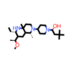 CC[C@@H]1NC2(C)CCN(C3CCN([C@@H](O)CC(C)(C)C)CC3)[C@H](C)C2CC1[C@H](C)OC